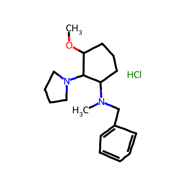 COC1CCCC(N(C)Cc2ccccc2)C1N1CCCC1.Cl